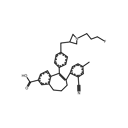 Cc1ccc(C2=C(c3ccc(CC4CN(CCCF)C4)cc3)c3ccc(C(=O)O)cc3CCC2)c(C#N)c1